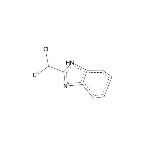 ClC(Cl)c1nc2ccccc2[nH]1